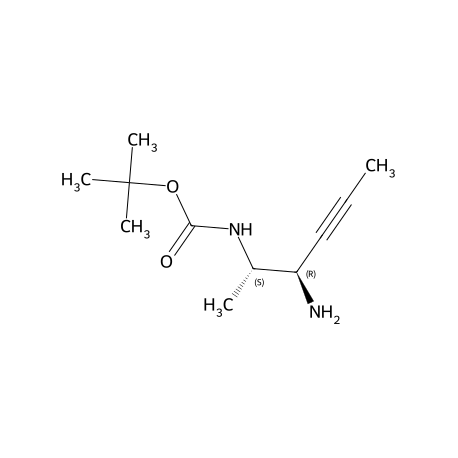 CC#C[C@@H](N)[C@H](C)NC(=O)OC(C)(C)C